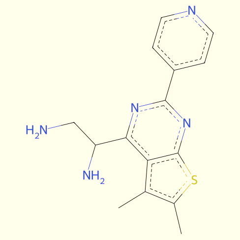 Cc1sc2nc(-c3ccncc3)nc(C(N)CN)c2c1C